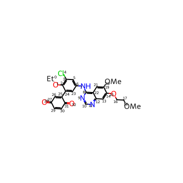 CCOc1c(Cl)cc(Nc2ncnc3cc(OCCOC)c(OC)cc23)cc1C1=CC(=O)C=CC1=O